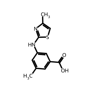 Cc1cc(Nc2nc(C)cs2)cc(C(=O)O)c1